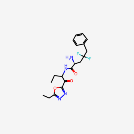 CCc1nnc(C(=O)C(CC)NC(=O)[C@@H](N)CC(F)(F)Cc2ccccc2)o1